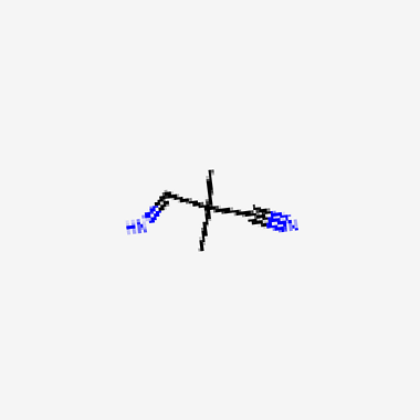 CC(C)(C#N)C=N